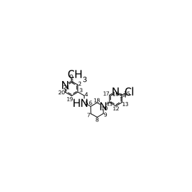 Cc1cc(CNC2CCCN(c3ccc(Cl)nc3)C2)ccn1